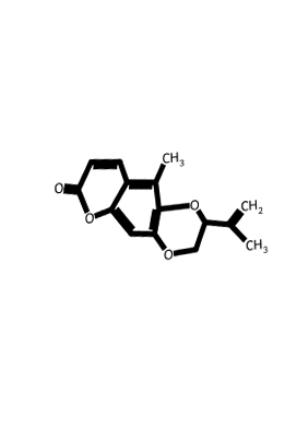 C=C(C)C1COc2cc3oc(=O)ccc3c(C)c2O1